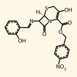 O=C(OCc1ccc([N+](=O)[O-])cc1)C1=C(O)CS[C@@H]2C(/N=C/c3ccccc3O)C(=O)N12